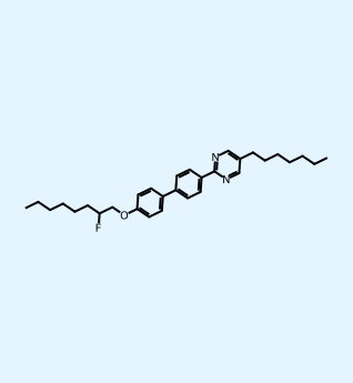 CCCCCCCc1cnc(-c2ccc(-c3ccc(OCC(F)CCCCCC)cc3)cc2)nc1